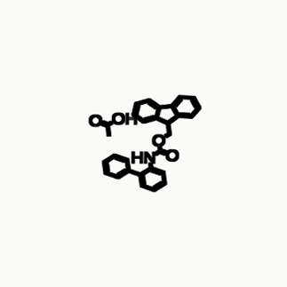 CC(=O)O.O=C(Nc1ccccc1-c1ccccc1)OCC1c2ccccc2-c2ccccc21